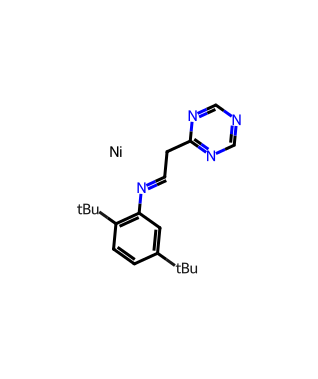 CC(C)(C)c1ccc(C(C)(C)C)c(N=CCc2ncncn2)c1.[Ni]